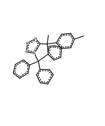 Cc1ccc(C(C)(C)c2nnnn2C(c2ccccc2)(c2ccccc2)c2ccccc2)cc1